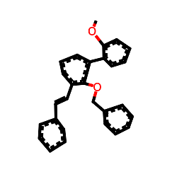 COc1ccccc1-c1cccc(C=Cc2ccccc2)c1OCc1ccccc1